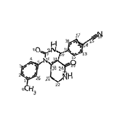 Cc1cccc(N2C(=O)NC(c3ccc(C#N)cc3)C3=C2CCNC3=O)c1